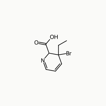 CCC1(Br)C=CC=NC1C(=O)O